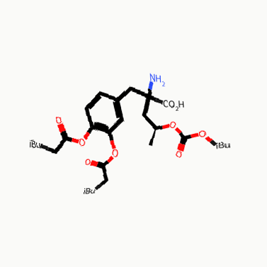 CCC(C)CC(=O)Oc1ccc(CC(N)(C[C@H](C)OC(=O)OC(C)CC)C(=O)O)cc1OC(=O)CC(C)CC